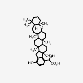 CC1(C)CCC[C@]2(C)OC3CC[C@@]4(C)C(CC[C@]5(C)C4CC[C@]4(C)c6c(C(O)C(=O)O)ccc(O)c6CC54)[C@]3(C)CC[C@@H]12